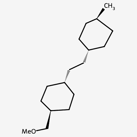 COC[C@H]1CC[C@H](CC[C@H]2CC[C@H](C)CC2)CC1